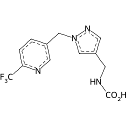 O=C(O)NCc1cnn(Cc2ccc(C(F)(F)F)nc2)c1